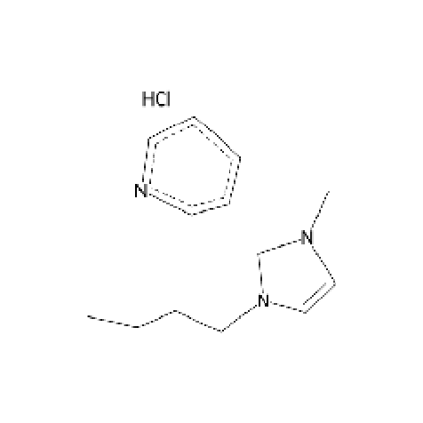 CCCCN1C=CN(C)C1.Cl.c1ccncc1